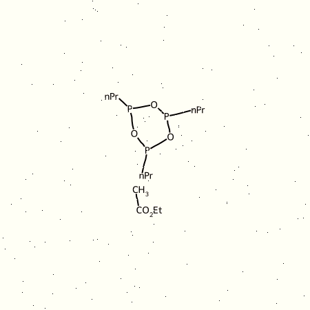 CCCP1OP(CCC)OP(CCC)O1.CCOC(C)=O